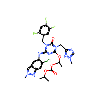 CC(C)OC(=O)OC(C)Oc1nc(=Nc2cc3cn(C)nc3cc2Cl)n(Cc2cc(F)c(F)cc2F)c(=O)n1Cc1ncn(C)n1